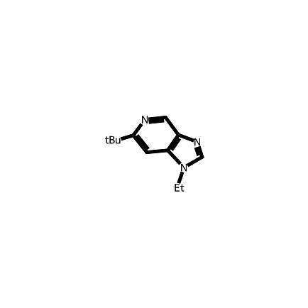 CCn1cnc2cnc(C(C)(C)C)cc21